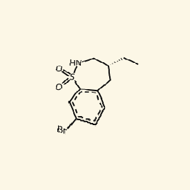 CC[C@H]1CNS(=O)(=O)c2cc(Br)ccc2C1